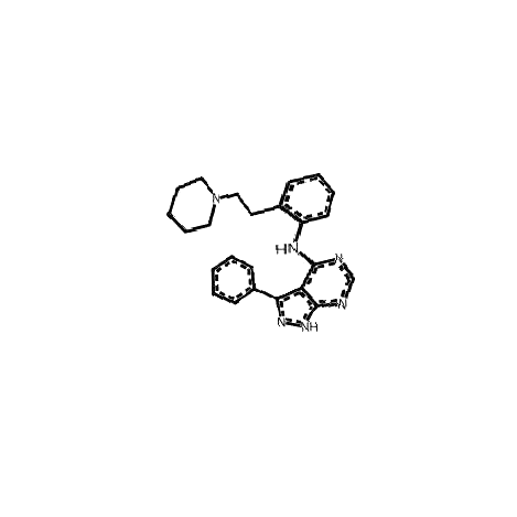 c1ccc(-c2n[nH]c3ncnc(Nc4ccccc4CCN4CCCCC4)c23)cc1